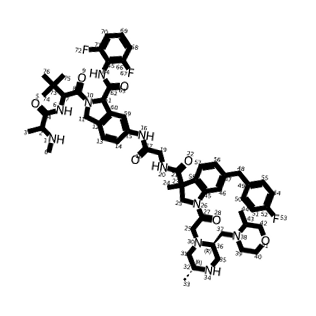 CNC(C)C(=O)NC(C(=O)N1Cc2ccc(NC(=O)CNC(=O)C3(C)CN(C(=O)CN4C[C@@H](C)NC[C@@H]4CN4CCOCC4C)c4cc(Cc5ccc(F)cc5)ccc43)cc2C1C(=O)Nc1c(F)cccc1F)C(C)(C)C